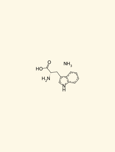 N.N[C@@H](Cc1c[nH]c2ccccc12)C(=O)O